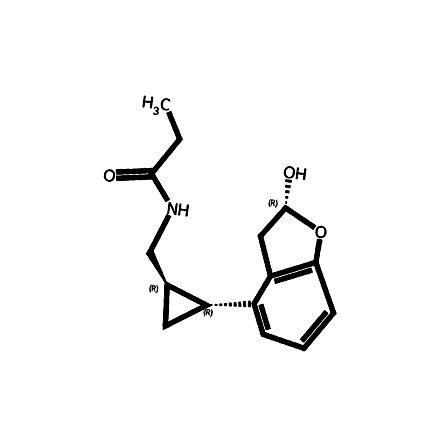 CCC(=O)NC[C@@H]1C[C@H]1c1cccc2c1C[C@H](O)O2